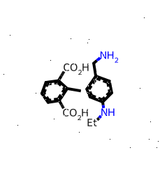 CCNc1ccc(CN)cc1.Cc1c(C(=O)O)cccc1C(=O)O